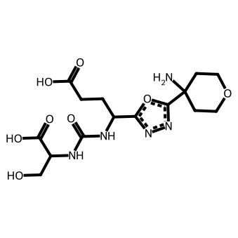 NC1(c2nnc(C(CCC(=O)O)NC(=O)NC(CO)C(=O)O)o2)CCOCC1